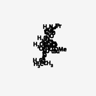 COc1ccc(C[C@@H](C(=O)O[C@H](C)[C@H](NC(=O)OC(C)(C)C)C(=O)OCOCC[Si](C)(C)C)N(C)C(=O)[C@@H]2CCCN2C(=O)[C@@H](N)CC(C)C)cc1